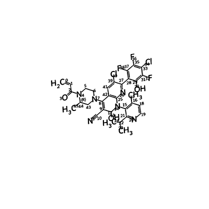 C=CC(=O)N1CCN(C2=C(C#N)C(O)N(c3c(C)ccnc3C(C)C)c3nc(-c4c(O)c(F)c(Cl)c(F)c4F)c(Cl)cc32)C[C@H]1C